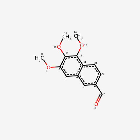 COc1cc2cc(C=O)ccc2c(OC)c1OC